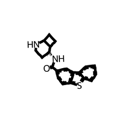 O=C(N[C@@H]1CCNC2CCC21)c1ccc2sc3ccccc3c2c1